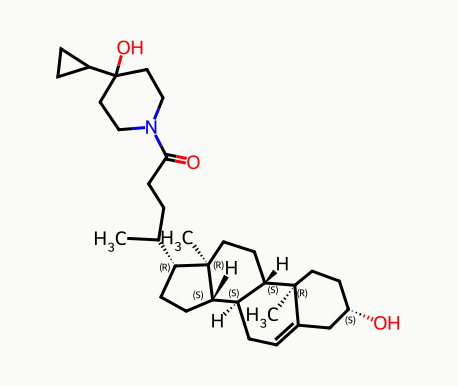 CC(CCC(=O)N1CCC(O)(C2CC2)CC1)[C@H]1CC[C@H]2[C@@H]3CC=C4C[C@@H](O)CC[C@]4(C)[C@H]3CC[C@]12C